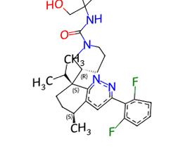 CC(C)[C@]1([C@H]2CCCN(C(=O)NC3(CO)CC3)C2)CC[C@H](C)c2cc(-c3c(F)cccc3F)nnc21